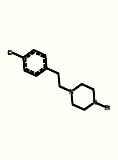 CCN1CCN(CCc2ccc(Cl)cc2)CC1